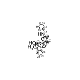 CC(C)(O)C1(NC(=O)C(OC(=O)NCc2ccccc2)C(F)(F)F)Cc2ccccc2C1